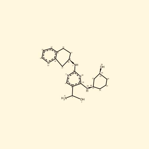 NC(O)c1cnc(N[C@@H]2CCc3cccnc3C2)nc1N[C@@H]1CCC[C@H](O)C1